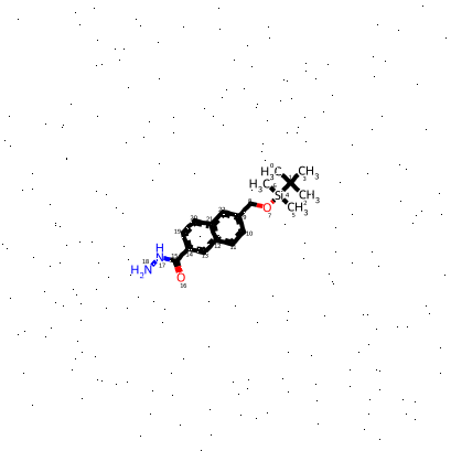 CC(C)(C)[Si](C)(C)OCc1ccc2cc(C(=O)NN)ccc2c1